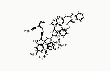 CC#C/C(=C\C#CC(C)C(OC[C@H]1O[C@@H](n2cnc(C)c2/N=C\N(C)CN(Cc2ccccc2)C(=O)COc2ccccc2)C(OC)C1OP(OCCC#CN)N(C(C)C)C(C)C)(c1ccccc1)c1ccc(OC)cc1)OC